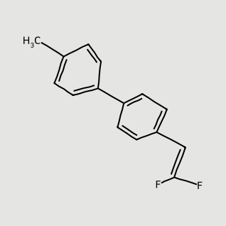 Cc1ccc(-c2ccc(C=C(F)F)cc2)cc1